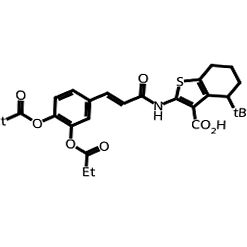 CCC(=O)Oc1ccc(C=CC(=O)Nc2sc3c(c2C(=O)O)C(C(C)(C)C)CCC3)cc1OC(=O)CC